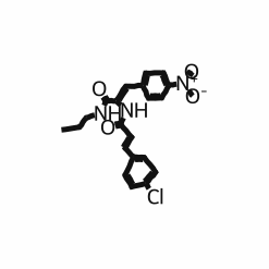 CCCNC(=O)/C(=C/c1ccc([N+](=O)[O-])cc1)NC(=O)/C=C/c1ccc(Cl)cc1